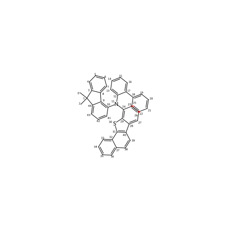 CC1(C)c2ccccc2-c2c(N(c3ccccc3-c3ccccc3)c3cccc4c3sc3c5ccccc5ccc43)cccc21